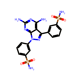 Nc1nc(N)c2c(-c3cccc(S(N)(=O)=O)c3)nn(-c3cccc(S(N)(=O)=O)c3)c2n1